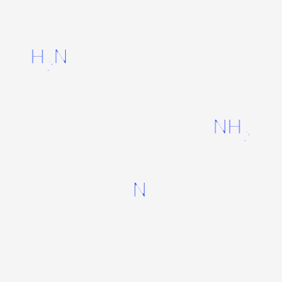 Cc1cc(N)c(C)c(N)n1